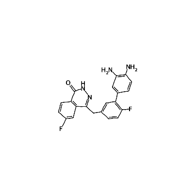 Nc1ccc(-c2cc(Cc3n[nH]c(=O)c4ccc(F)cc34)ccc2F)cc1N